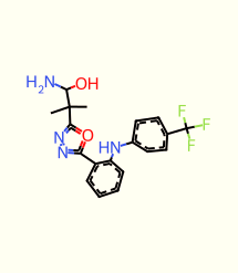 CC(C)(c1nnc(-c2ccccc2Nc2ccc(C(F)(F)F)cc2)o1)C(N)O